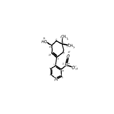 CC1(C)CC(c2ccncc2[N+](=O)[O-])=CC(O)C1